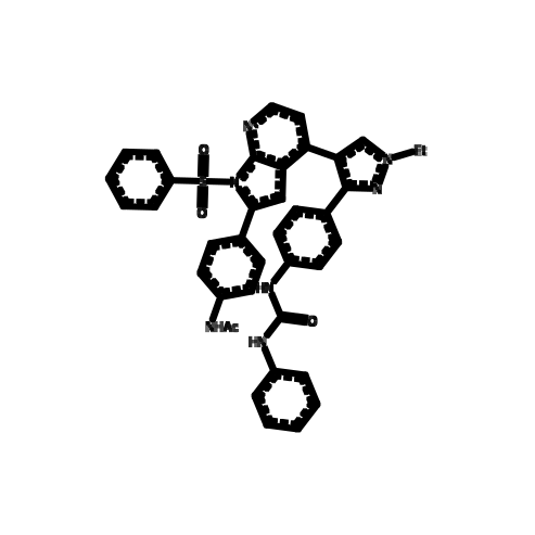 CCn1cc(-c2ccnc3c2cc(-c2ccc(NC(C)=O)cc2)n3S(=O)(=O)c2ccccc2)c(-c2ccc(NC(=O)Nc3ccccc3)cc2)n1